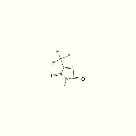 CN1C(=O)C=C(C(F)(F)F)C1=O